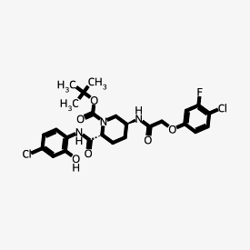 CC(C)(C)OC(=O)N1C[C@@H](NC(=O)COc2ccc(Cl)c(F)c2)CC[C@@H]1C(=O)Nc1ccc(Cl)cc1O